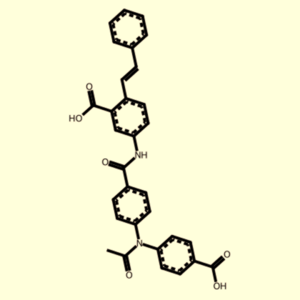 CC(=O)N(c1ccc(C(=O)O)cc1)c1ccc(C(=O)Nc2ccc(C=Cc3ccccc3)c(C(=O)O)c2)cc1